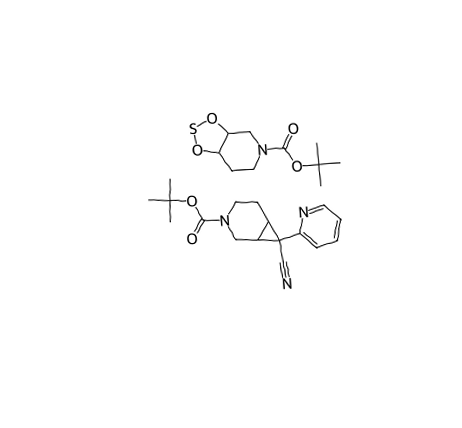 CC(C)(C)OC(=O)N1CCC2C(C1)C2(C#N)c1ccccn1.CC(C)(C)OC(=O)N1CCC2OSOC2C1